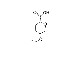 CC(C)OC1CCC(C(=O)O)OC1